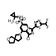 CC1(NS(=O)(=O)c2cc(N3CCC4(CCOC4)C3)c3c(Cl)nc(-c4nnc(C(F)F)s4)n3c2)CC1